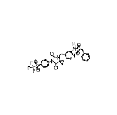 O=C1N(c2ccc(S(=O)(=O)C(F)(F)F)cc2)C(=O)C2(CC2)N1Cc1ccnc(NS(=O)(=O)Cc2ccccc2)c1